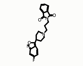 O=C1c2ccccc2C(=O)N1CCCN1CCC(c2onc3cc(F)ccc23)CC1